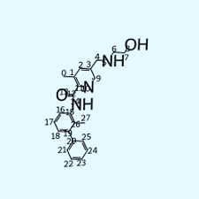 Cc1cc(CNCCO)cnc1C(=O)Nc1cccc(-c2ccccc2)c1C